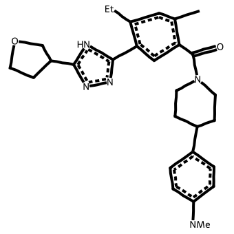 CCc1cc(C)c(C(=O)N2CCC(c3ccc(NC)cc3)CC2)cc1-c1nnc(C2CCOC2)[nH]1